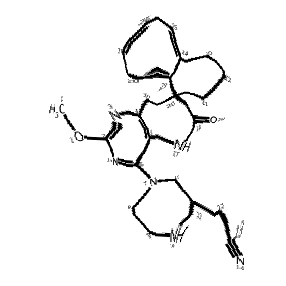 COc1nc2c(c(N3CCNC(CC#N)C3)n1)NC(=O)C1(CCCc3ccccc31)C2